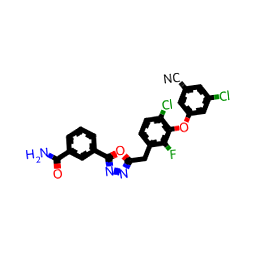 N#Cc1cc(Cl)cc(Oc2c(Cl)ccc(Cc3nnc(-c4cccc(C(N)=O)c4)o3)c2F)c1